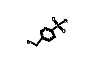 CCS(=O)(=O)c1ccc(CBr)cn1